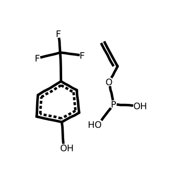 C=COP(O)O.Oc1ccc(C(F)(F)F)cc1